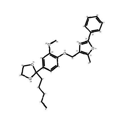 CCCCCC1(c2ccc(OCc3nc(-c4ccccc4)oc3C)c(OC)c2)OCCO1